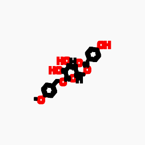 COc1ccc(CO[C@@H]2O[C@@H]3CO[C@@H](c4ccc(O)cc4)O[C@H]3[C@H](O)[C@H]2O)cc1